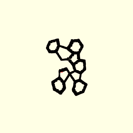 c1ccc2c(c1)Cn1c3c-2cccc3c2ccc3c(c21)C1(c2ccccc2-c2ccccc21)c1ccccc1-3